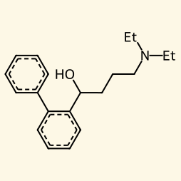 CCN(CC)CCCC(O)c1ccccc1-c1ccccc1